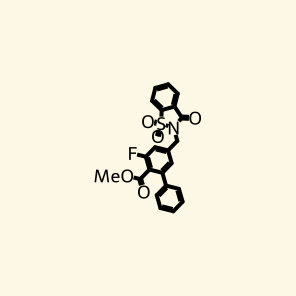 COC(=O)c1c(F)cc(CN2C(=O)c3ccccc3S2(=O)=O)cc1-c1ccccc1